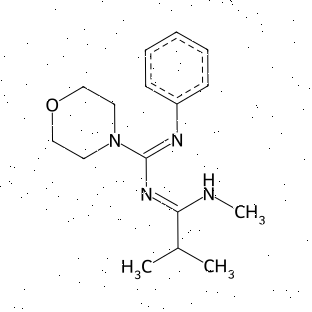 CN/C(=N\C(=N\c1ccccc1)N1CCOCC1)C(C)C